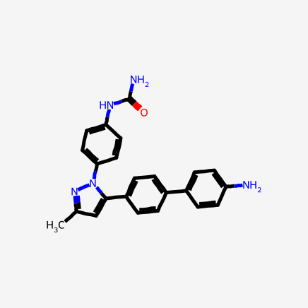 Cc1cc(-c2ccc(-c3ccc(N)cc3)cc2)n(-c2ccc(NC(N)=O)cc2)n1